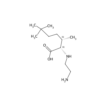 C[C@@H](CCC(C)(C)C)[C@H](NCCN)C(=O)O